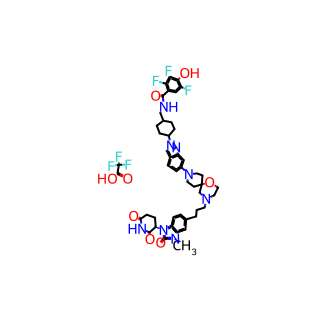 Cn1c(=O)n([C@@H]2CCC(=O)NC2=O)c2ccc(CCCN3CCOC4(CCN(c5ccc6cn(C7CCC(CNC(=O)c8cc(F)c(O)c(F)c8F)CC7)nc6c5)CC4)C3)cc21.O=C(O)C(F)(F)F